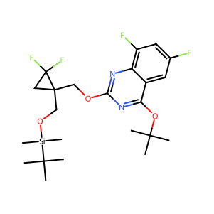 CC(C)(C)Oc1nc(OCC2(CO[Si](C)(C)C(C)(C)C)CC2(F)F)nc2c(F)cc(F)cc12